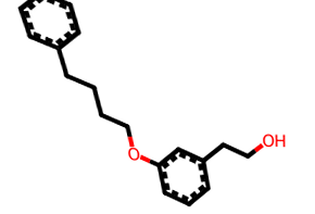 OCCc1cccc(OCCCCc2ccccc2)c1